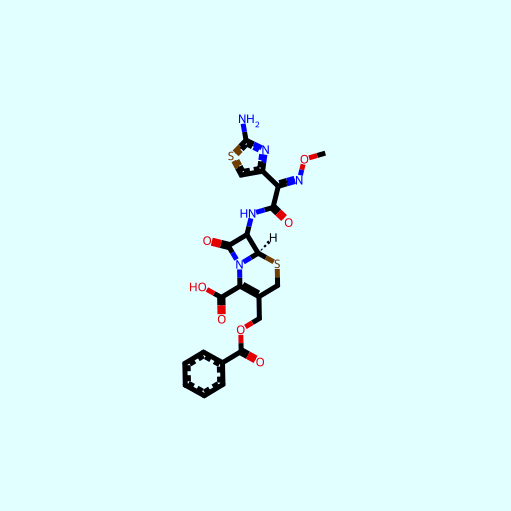 CO/N=C(/C(=O)NC1C(=O)N2C(C(=O)O)=C(COC(=O)c3ccccc3)CS[C@H]12)c1csc(N)n1